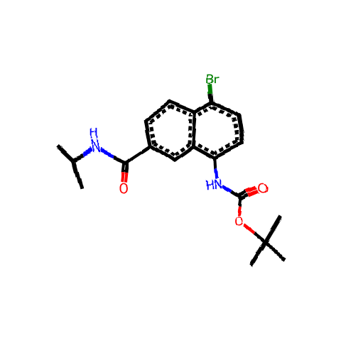 CC(C)NC(=O)c1ccc2c(Br)ccc(NC(=O)OC(C)(C)C)c2c1